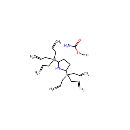 C=CC[Si](CC=C)(CC=C)C1CCC([Si](CC=C)(CC=C)CC=C)N1.CC(C)(C)OC(N)=O